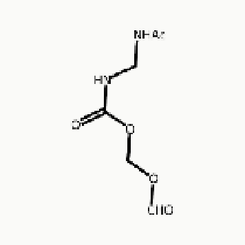 CC(=O)NCNC(=O)OCOC=O